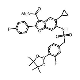 CNC(=O)c1c(-c2ccc(F)cc2)oc2cc(NS(=O)(=O)Cc3ccc(B4OC(C)(C)C(C)(C)O4)c(F)c3)c(C3CC3)cc12